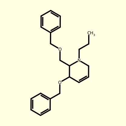 CCCN1CC=CC(OCc2ccccc2)C1COCc1ccccc1